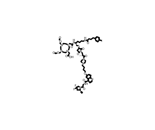 C#C[C@H]1CC(F)(F)CN1C(=O)CNC(=O)c1ccnc2ccc(OCCCCN3CCN(C(=O)[C@H](C)CN4C(=O)CC(SC[C@H](CCCCNC(=O)CCCc5ccc(I)cc5)NC(=O)CN5CCN(COC=O)CCN(COC=O)CCN(CC(=O)O)CC5)C4=O)CC3)cc12